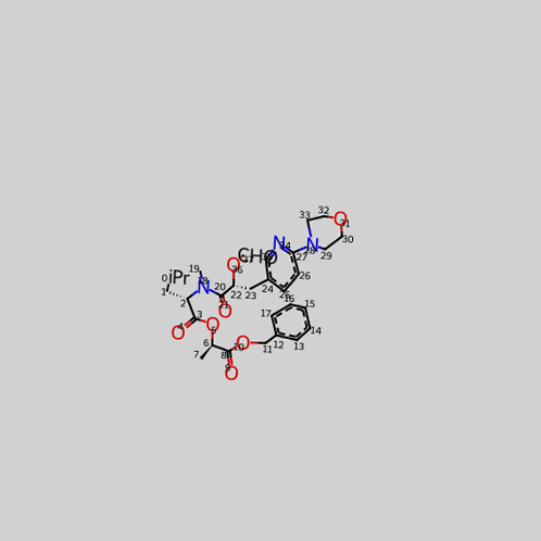 CC(C)C[C@@H](C(=O)O[C@H](C)C(=O)OCc1ccccc1)N(C)C(=O)[C@@H](Cc1ccc(N2CCOCC2)nc1)OC=O